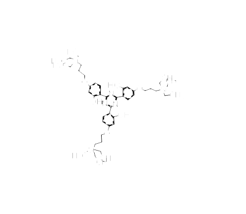 CC[Si](CC)(CC)CCCOc1ccc(-c2nc(-c3ccc(OCCC[Si](CC)(CC)CC)cc3O)nc(-c3ccc(OCCC[Si](CC)(CC)CC)cc3O)n2)c(O)c1